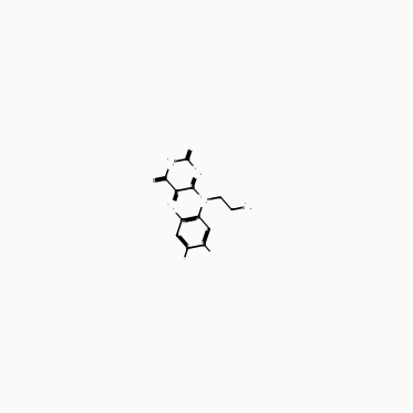 Cc1cc2nc3c(=O)[nH]c(=O)nc-3n(CCN)c2cc1C